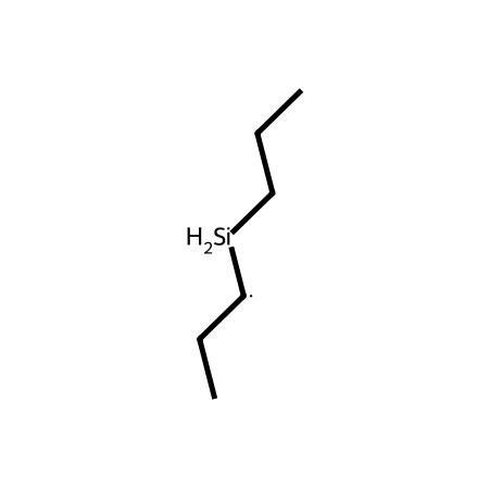 CC[CH][SiH2]CCC